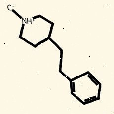 [CH2-][NH+]1CCC(CCc2ccccc2)CC1